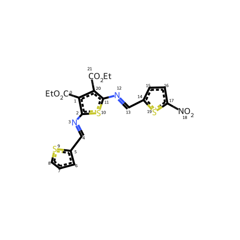 CCOC(=O)c1c(N=Cc2cccs2)sc(N=Cc2ccc([N+](=O)[O-])s2)c1C(=O)OCC